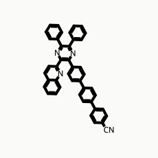 N#Cc1ccc(-c2ccc(-c3ccc(-c4nc(-c5ccccc5)c(-c5ccccc5)nc4-c4ccc5ccccc5n4)cc3)cc2)cc1